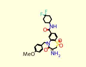 COc1ccc(CN2C(=O)[C@@H](N)CS(=O)(=O)c3ccc(C(=O)NC4CCC(F)(F)CC4)cc32)cc1